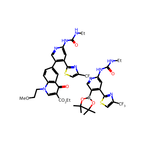 CCNC(=O)Nc1cc(-c2nc(C(F)(F)F)cs2)c(-c2ccc3c(c2)c(=O)c(C(=O)OCC)cn3CCOC)cn1.CCNC(=O)Nc1cc(-c2nc(C(F)(F)F)cs2)c(B2OC(C)(C)C(C)(C)O2)cn1